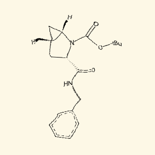 CC(C)(C)OC(=O)N1[C@H](C(=O)NCc2ccccc2)C[C@@H]2C[C@@H]21